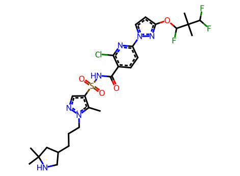 Cc1c(S(=O)(=O)NC(=O)c2ccc(-n3ccc(OC(F)C(C)(C)C(F)F)n3)nc2Cl)cnn1CCCC1CNC(C)(C)C1